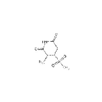 CC1C(=O)NC(=O)CC1S(C)(=O)=O